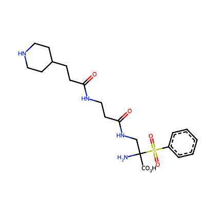 NC(CNC(=O)CCNC(=O)CCC1CCNCC1)(C(=O)O)S(=O)(=O)c1ccccc1